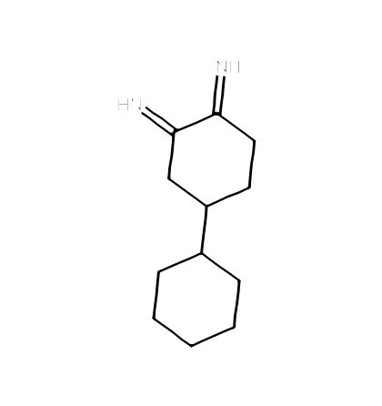 N=C1CCC(C2CCCCC2)CC1=N